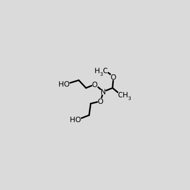 COC(C)N(OCCO)OCCO